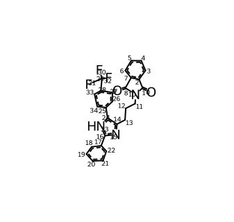 O=C1c2ccccc2C(=O)N1CCCc1nc(-c2ccccc2)[nH]c1-c1ccc(C(F)(F)F)cc1